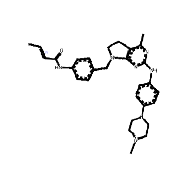 C/C=C/C(=O)Nc1ccc(CN2CCc3c(C)nc(Nc4ccc(N5CCN(C)CC5)cc4)nc32)cc1